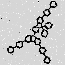 c1ccc(-c2ccc(-c3ccc4c(c3)C(c3ccccc3)(c3ccccc3)c3cc(-n5c6ccc(-c7ccc(-c8ccccc8)cc7)cc6c6cc(-c7ccc(-c8ccccc8)cc7)ccc65)ccc3-4)cc2)cc1